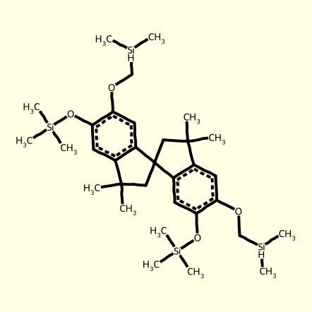 C[SiH](C)COc1cc2c(cc1O[Si](C)(C)C)C(C)(C)CC21CC(C)(C)c2cc(OC[SiH](C)C)c(O[Si](C)(C)C)cc21